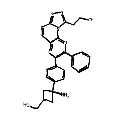 NC1(c2ccc(-c3nc4ccc5nnc(CCC(F)(F)F)n5c4nc3-c3ccccc3)cc2)CC(CO)C1